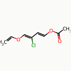 C=COC=C(Cl)C=COC(C)=O